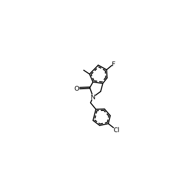 Cc1cc(F)cc2c1C(=O)N(Cc1ccc(Cl)cc1)C2